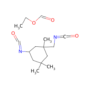 CC1(C)CC(N=C=O)CC(C)(CN=C=O)C1.CCOC=O